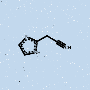 C#CCc1ncc[nH]1